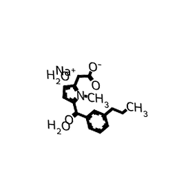 CCCc1cccc(C(=O)c2ccc(CC(=O)[O-])n2C)c1.O.O.[Na+]